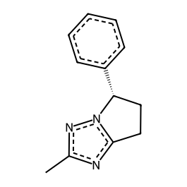 Cc1nc2n(n1)[C@H](c1ccccc1)CC2